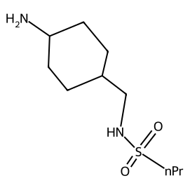 CCCS(=O)(=O)NCC1CCC(N)CC1